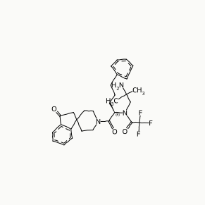 CC(C)(N)CN(C(=O)C(F)(F)F)[C@H](CCCc1ccccc1)C(=O)N1CCC2(CC1)CC(=O)c1ccccc12